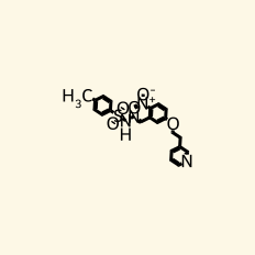 Cc1ccc(S(=O)(=O)NN=Cc2cc(OCCc3cccnc3)ccc2[N+](=O)[O-])cc1